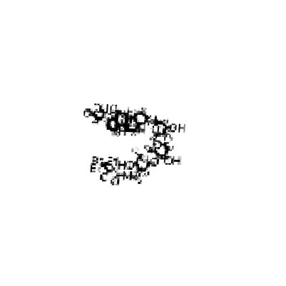 CCC(Br)(CC)C(=O)NC(N)=O.C[C@H]1O[C@@H](O[C@H]2[C@@H](O)C[C@H](O[C@H]3[C@@H](O)C[C@H](O[C@H]4CC[C@@]5(C)[C@H](CC[C@@H]6[C@@H]5C[C@@H](O)[C@]5(C)[C@@H](C7=CC(=O)OC7)CC[C@]65O)C4)O[C@@H]3C)O[C@@H]2C)C[C@H](O)[C@@H]1O